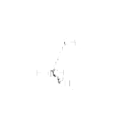 C=CC(=O)OCC[N+](C)(C)CCCCCCCCCCCCCC